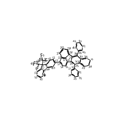 FC(F)(F)C1(C(F)(F)F)c2ccc(-c3ccc4c5c(cccc35)-c3c-4c(-c4ccccc4)c4ccccc4c3-c3ccccc3)cc2-c2ncccc21